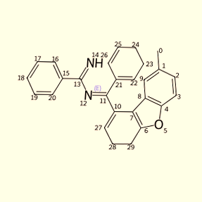 Cc1ccc2oc3c(c2c1)C(/C(=N/C(=N)c1ccccc1)C1=CCCC=C1)=CCC3